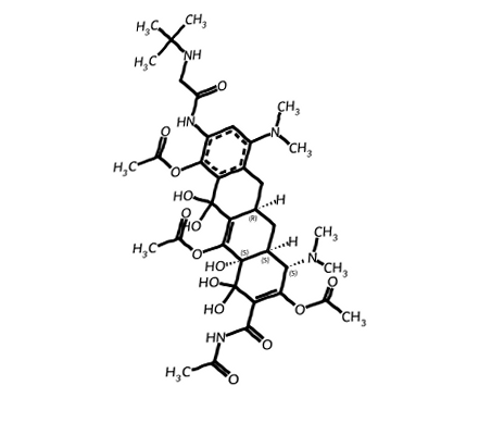 CC(=O)NC(=O)C1=C(OC(C)=O)[C@@H](N(C)C)[C@@H]2C[C@@H]3Cc4c(N(C)C)cc(NC(=O)CNC(C)(C)C)c(OC(C)=O)c4C(O)(O)C3=C(OC(C)=O)[C@]2(O)C1(O)O